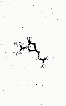 CC(C)SCC1CC(=O)N(C(C)C)C1